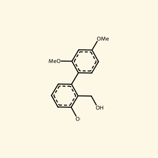 COc1ccc(-c2cccc([O])c2CO)c(OC)c1